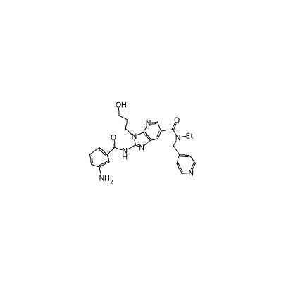 CCN(Cc1ccncc1)C(=O)c1cnc2c(c1)nc(NC(=O)c1cccc(N)c1)n2CCCO